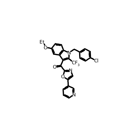 CCOc1ccc2c(c1)c(C(=O)c1ncc(-c3cccnc3)o1)c(C(F)(F)F)n2Cc1ccc(Cl)cc1